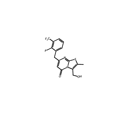 Cc1sc2nc(Cc3cccc(C(F)(F)F)c3F)cc(=O)n2c1CO